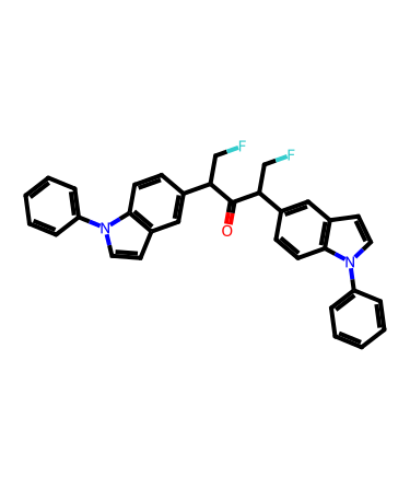 O=C(C(CF)c1ccc2c(ccn2-c2ccccc2)c1)C(CF)c1ccc2c(ccn2-c2ccccc2)c1